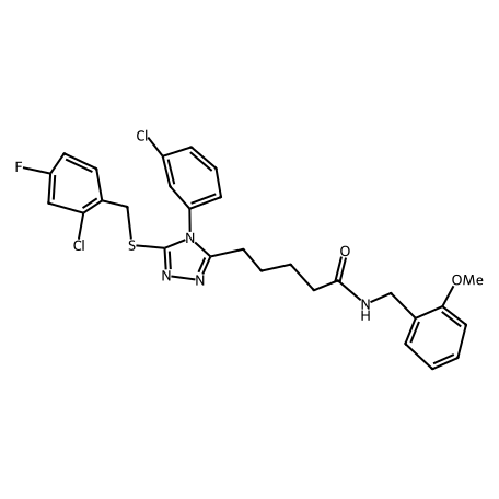 COc1ccccc1CNC(=O)CCCCc1nnc(SCc2ccc(F)cc2Cl)n1-c1cccc(Cl)c1